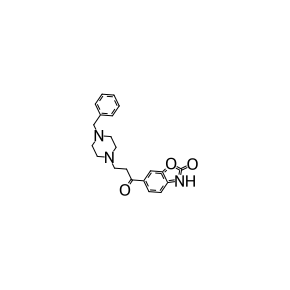 O=C(CCN1CCN(Cc2ccccc2)CC1)c1ccc2[nH]c(=O)oc2c1